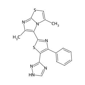 Cc1nc2scc(C)n2c1-c1nc(-c2ccccc2)c(-c2nc[nH]n2)s1